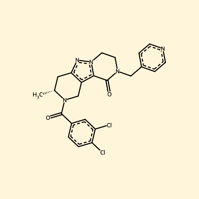 C[C@@H]1Cc2nn3c(c2CN1C(=O)c1ccc(Cl)c(Cl)c1)C(=O)N(Cc1ccncc1)CC3